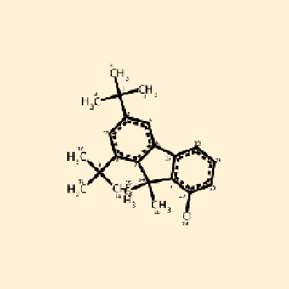 CC(C)(C)c1cc2c(c(C(C)(C)C)c1)C(C)(C)c1c(Cl)cccc1-2